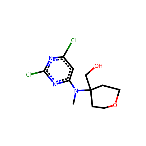 CN(c1cc(Cl)nc(Cl)n1)C1(CO)CCOCC1